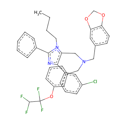 CCCCn1c(-c2ccccc2)nc(-c2cccc(Cl)c2)c1CN(Cc1cccc(OC(F)(F)C(F)F)c1)Cc1ccc2c(c1)OCO2